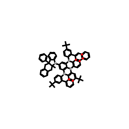 CC(C)(C)c1ccc2c(c1)B1c3ccc(-c4ccccc4)cc3N(c3ccc(C(C)(C)C)cc3-c3ccccc3)c3cc(N4c5ccccc5C5(c6ccccc6)Cc6ccccc6CC45C)cc(c31)N2c1ccc(C(C)(C)C)cc1-c1ccccc1